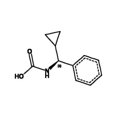 O=C(O)N[C@H](c1ccccc1)C1CC1